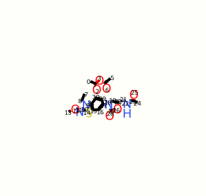 CC(=O)OC(C)=O.CCn1c(=NOC)sc2cc(N3C[C@H](CNC(C)=O)OC3=O)ccc21